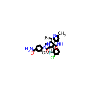 COc1cc(C(N)=O)ccc1N1CN2[C@@H](CC(C)(C)C)[C@@]3(C(=O)Nc4cc(C)ncc43)[C@@H](c3cccc(Cl)c3F)[C@@H]2C1=O